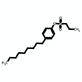 CCCCCCCCCc1ccc(OS(=O)(=O)CCC)cc1